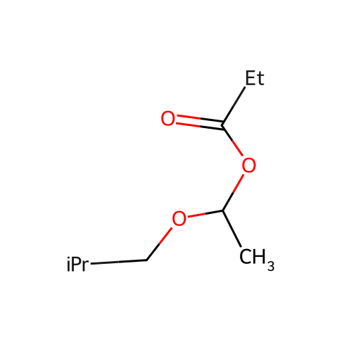 CCC(=O)OC(C)OCC(C)C